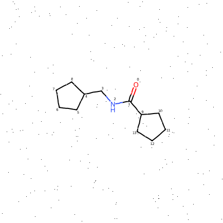 O=C(NCC1CCCC1)C1CCCC1